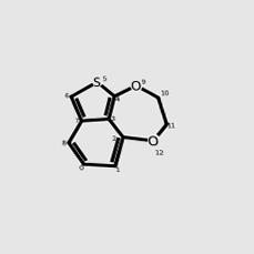 c1cc2c3c(scc3c1)OCCO2